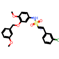 COc1cccc(COc2cc(NS(=O)(=O)/C=C/c3cccc(Cl)c3)ccc2OC)c1